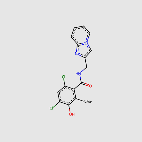 CNc1c(O)c(Cl)cc(Cl)c1C(=O)NCc1cn2ccccc2n1